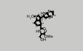 COC(=O)C(CO)NC(=O)c1ccc2c(c1)c(-c1cc3nccnc3[nH]1)cn2C